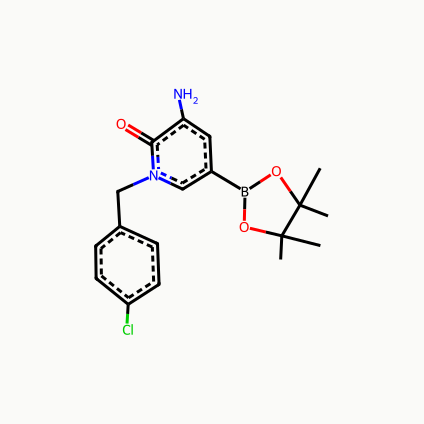 CC1(C)OB(c2cc(N)c(=O)n(Cc3ccc(Cl)cc3)c2)OC1(C)C